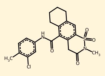 Cc1ccc(NC(=O)c2c3c(cc4c2CC(=O)N(C)S4(=O)=O)CCCC3)cc1Cl